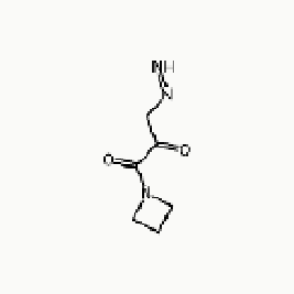 N=NCC(=O)C(=O)N1CCC1